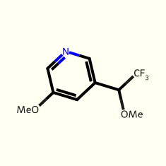 COc1cncc(C(OC)C(F)(F)F)c1